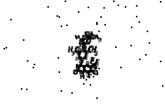 C[C@@H]1CN(c2nc(=O)[nH]c3c(I)c(Cl)c(C(F)(F)F)cc23)C[C@H](C)N1C(=O)OC(C)(C)C